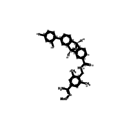 CON=C(N)c1cc(C)c(CNC(=O)c2ccc3c(c2)[C@@H]2O[C@H]3c3ccc(-c4ccc(F)cc4F)cc32)c(C)c1